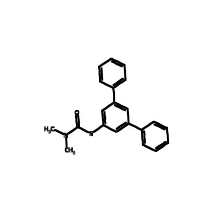 CN(C)C(=O)Sc1cc(-c2ccccc2)cc(-c2ccccc2)c1